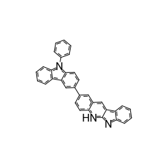 c1ccc(-n2c3ccccc3c3cc(-c4ccc5[nH]c6nc7ccccc7c-6cc5c4)ccc32)cc1